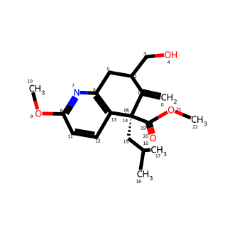 C=C1C(CO)Cc2nc(OC)ccc2[C@]1(CC(C)C)C(=O)OC